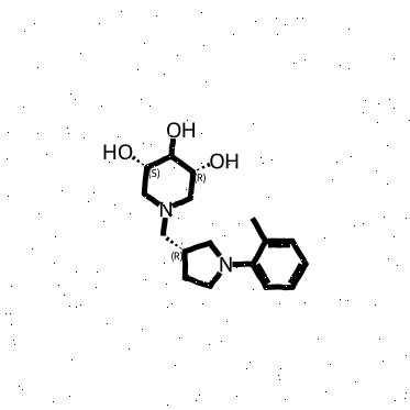 Cc1ccccc1N1CC[C@H](CN2C[C@@H](O)C(O)[C@@H](O)C2)C1